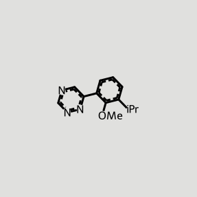 COc1c(-c2cncnn2)cccc1C(C)C